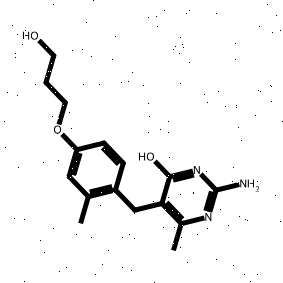 Cc1cc(OCCCO)ccc1Cc1c(C)nc(N)nc1O